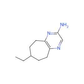 CCC1CCc2ncc(N)nc2CC1